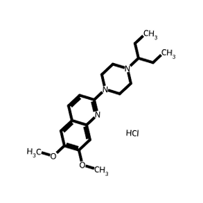 CCC(CC)N1CCN(c2ccc3cc(OC)c(OC)cc3n2)CC1.Cl